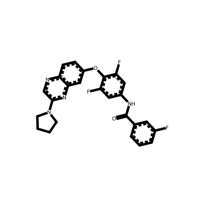 O=C(Nc1cc(F)c(Oc2ccc3ncc(N4CCCC4)nc3c2)c(F)c1)c1cccc(F)c1